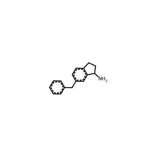 NC1CCc2ccc(Cc3ccccc3)cc21